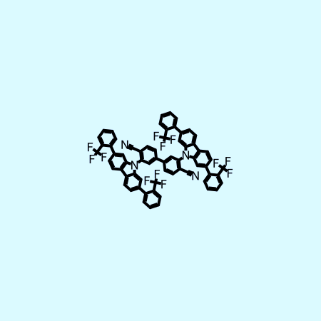 N#Cc1ccc(-c2ccc(C#N)c(-n3c4cc(-c5ccccc5C(F)(F)F)ccc4c4ccc(-c5ccccc5C(F)(F)F)cc43)c2)cc1-n1c2cc(-c3ccccc3C(F)(F)F)ccc2c2ccc(-c3ccccc3C(F)(F)F)cc21